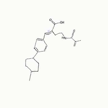 C=C(C)C(=O)NCC/C(=C\c1ccc(C2CCC(C)CC2)cc1)C(=O)O